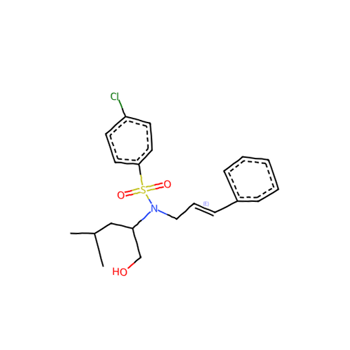 CC(C)CC(CO)N(C/C=C/c1ccccc1)S(=O)(=O)c1ccc(Cl)cc1